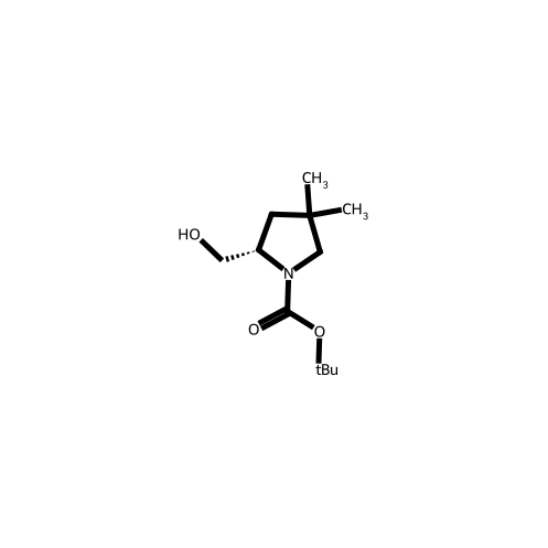 CC1(C)C[C@@H](CO)N(C(=O)OC(C)(C)C)C1